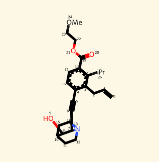 C=CCc1c(C#CC2C(O)C3CCN2CC3)ccc(C(=O)OCCOC)c1C(C)C